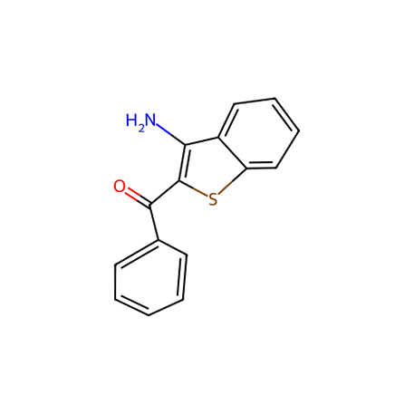 Nc1c(C(=O)c2ccccc2)sc2ccccc12